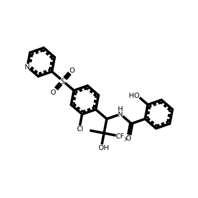 CC(O)(C(NC(=O)c1ccccc1O)c1ccc(S(=O)(=O)c2cccnc2)cc1Cl)C(F)(F)F